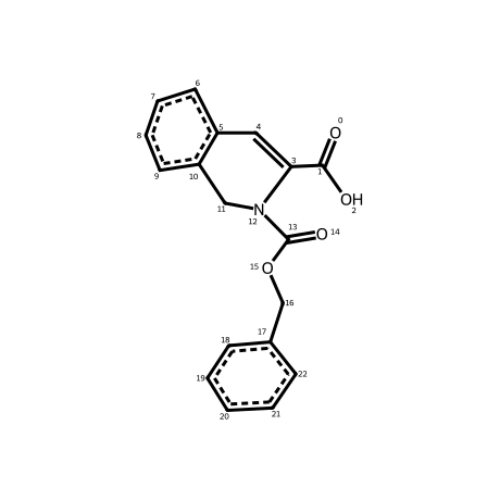 O=C(O)C1=Cc2ccccc2CN1C(=O)OCc1ccccc1